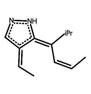 C\C=C/C(=c1/[nH]nc/c1=C/C)C(C)C